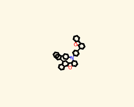 c1ccc(-c2ccc(N(c3ccc(-c4cccc5c4oc4ccccc45)cc3)c3cccc4oc5c6ccccc6c(-c6ccccc6)cc5c34)cc2)cc1